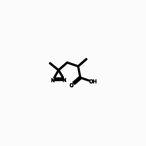 CC(CC1(C)N=N1)C(=O)O